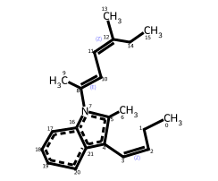 CC/C=C\c1c(C)n(/C(C)=C/C=C(/C)CC)c2ccccc12